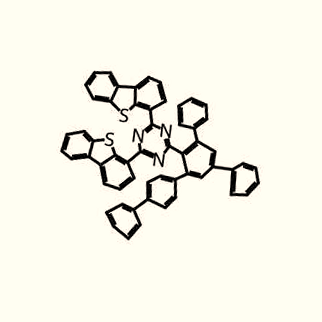 c1ccc(-c2ccc(-c3cc(-c4ccccc4)cc(-c4ccccc4)c3-c3nc(-c4cccc5c4sc4ccccc45)nc(-c4cccc5c4sc4ccccc45)n3)cc2)cc1